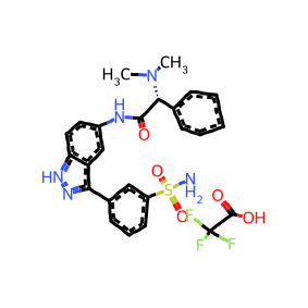 CN(C)[C@@H](C(=O)Nc1ccc2[nH]nc(-c3cccc(S(N)(=O)=O)c3)c2c1)c1ccccc1.O=C(O)C(F)(F)F